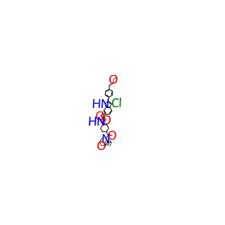 COCCc1ccc(-c2[nH]c3cc(S(=O)(=O)NC4CCC(C(=O)N5CCOC[C@@H]5C)CC4)ccc3c2Cl)cc1